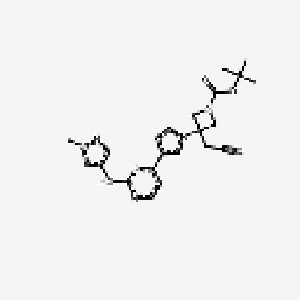 Cn1cc(Nc2nccc(-c3ccn(C4(CC#N)CN(C(=O)OC(C)(C)C)C4)c3)n2)cn1